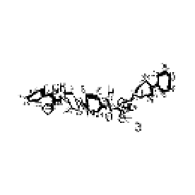 O=C(Nc1ccc(N2CCN(C(=O)[C@H](O)c3ccccc3)CC2)nc1)c1oc(N2CCC(c3ccccc3)CC2)nc1C(F)(F)F